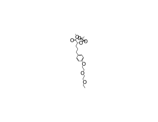 CCOCCOCCOc1ccc(CCCC(OS(C)(=O)=O)C(=O)OC)cc1